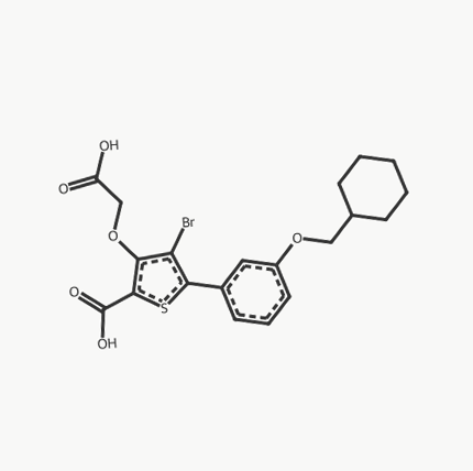 O=C(O)COc1c(C(=O)O)sc(-c2cccc(OCC3CCCCC3)c2)c1Br